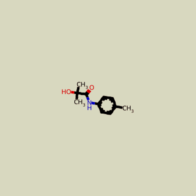 Cc1ccc(NC(=O)C(C)(C)O)cc1